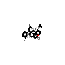 CC(C)Oc1ccc(F)c(F)c1[C@@H]1NC(=O)C[C@H](c2cccc(Cl)c2)[C@@]12C(=O)Nc1cc(Cl)ccc12